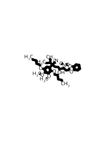 CCCCCOc1cc(C(C#N)(CCC(O)C(CC2Oc3ccccc3O2)[N+](=O)[O-])C(CC)CC)c(OCCCCC)c(OC)c1OC